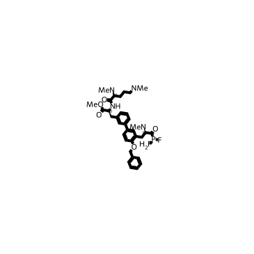 CNCCC[C@H](NC)C(=O)N[C@@H](Cc1cccc(-c2ccc(OCc3ccccc3)c(C[C@H](NC)C(=O)P(F)P)c2)c1)C(=O)OC